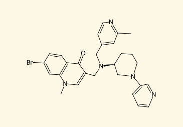 Cc1cc(CN(Cc2cn(C)c3cc(Br)ccc3c2=O)[C@H]2CCCN(c3cccnc3)C2)ccn1